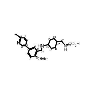 COc1ccc(-c2ccc(C)nc2)cc1CNC1CCC(CNC(=O)O)CC1